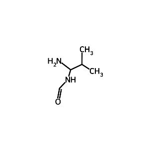 CC(C)C(N)NC=O